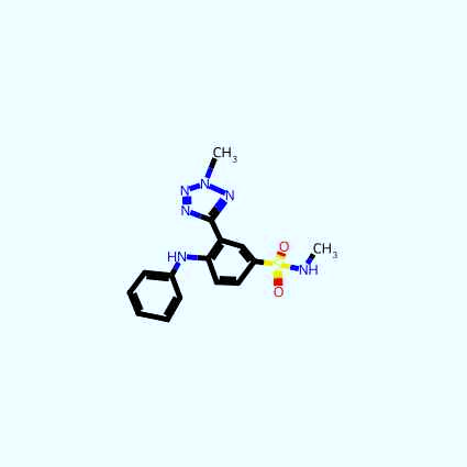 CNS(=O)(=O)c1ccc(Nc2ccccc2)c(-c2nnn(C)n2)c1